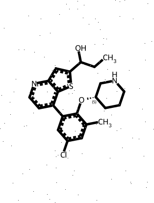 CCC(O)c1cc2nccc(-c3cc(Cl)cc(C)c3O[C@H]3CCCNC3)c2s1